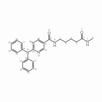 CNC(=O)CCCCNC(=O)c1cnc(N(c2ccccc2)c2ccccc2)nc1